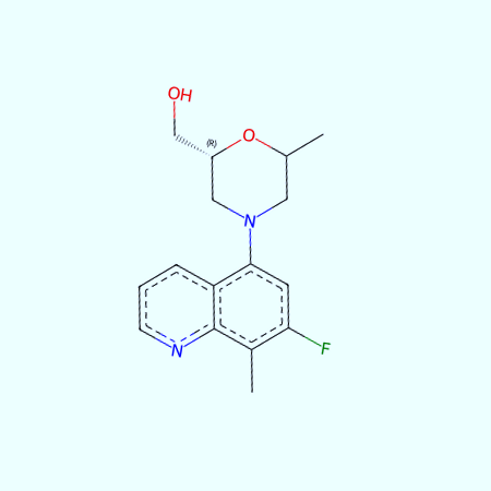 Cc1c(F)cc(N2CC(C)O[C@@H](CO)C2)c2cccnc12